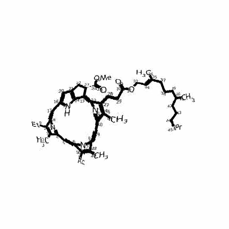 CCC1=C(C)c2cc3[nH]c(cc4nc(c5c6[nH]c(cc1n2)cc6C[C@@H]5C(=O)OC)C(CCC(=O)OC/C=C(\C)CCCC(C)CCCC(C)C)=C4C)c(C)c3C(C)=O